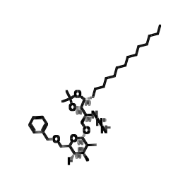 CCCCCCCCCCCCCC[C@H]1OC(C)(C)O[C@H]1[C@H](CO[C@H]1OC(COCc2ccccc2)[C@@H](F)[C@H](C)C1C)N=[N+]=[N-]